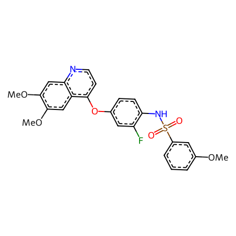 COc1cccc(S(=O)(=O)Nc2ccc(Oc3ccnc4cc(OC)c(OC)cc34)cc2F)c1